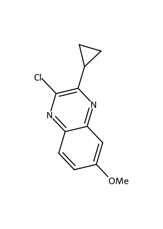 COc1ccc2nc(Cl)c(C3CC3)nc2c1